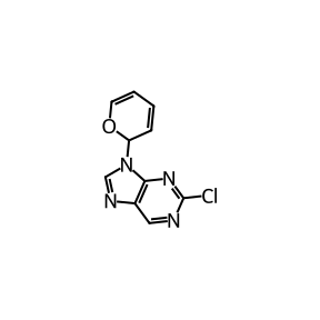 Clc1ncc2ncn(C3C=CC=CO3)c2n1